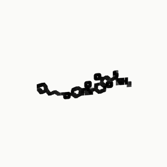 NC(=S)c1cc(=O)c2cc(NC(=O)c3ccc(OCCCCc4ccccc4)cc3)ccc2o1